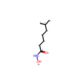 CC(C)CCCCC(=O)NO